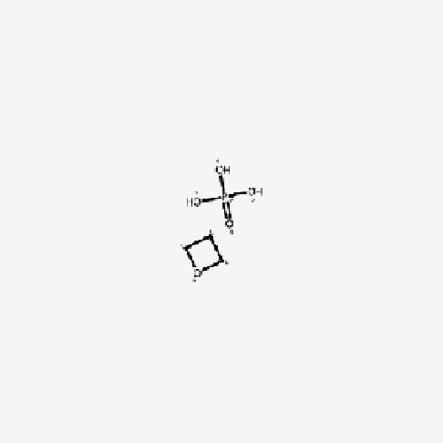 C1COC1.O=P(O)(O)O